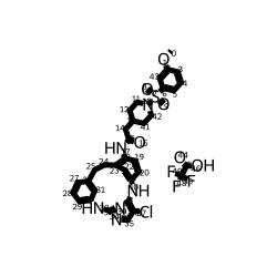 COc1cccc(S(=O)(=O)N2CCC(CC(=O)Nc3ccc4cc3CCc3cccc(c3)Nc3ncc(Cl)c(n3)N4)CC2)c1.O=C(O)C(F)(F)F